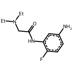 CCN(CC)CC(=O)Nc1cc(N)ccc1F